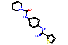 N=C(Nc1ccc(NC(=O)N2CC=CCC2)cc1)c1cccs1